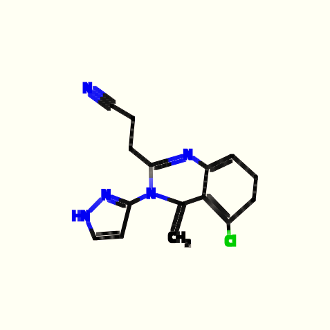 C=C1C2=C(Cl)CCC=C2N=C(CCC#N)N1c1cc[nH]n1